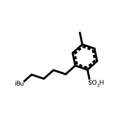 CCC(C)CCCCc1cc(C)ccc1S(=O)(=O)O